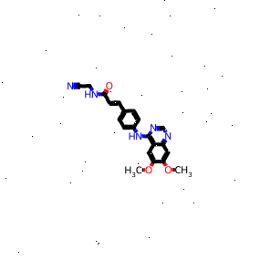 COc1cc2ncnc(Nc3ccc(/C=C/C(=O)NCC#N)cc3)c2cc1OC